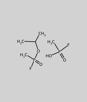 CC(C)OP(C)(=O)F.CP(=O)(O)F